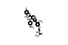 CC(=O)NCCOc1ccc(-c2cc3c(N[C@H]4CC[C@H](N)CC4)c(/C(N)=N/c4cc(F)ccc4Cl)cnn3c2)c(C)c1